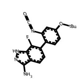 CC(C)(C)Oc1ccc(-c2ccc3c(N)n[nH]c3c2F)c(N=C=O)c1